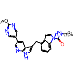 CCCCNC(=O)n1ccc2c(Cc3c[nH]c4ncc(-c5cnc(OC)nc5)cc34)cccc21